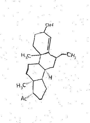 CC(=O)[C@H]1CCC2[C@@H]3CC(C)C4=CC(O)CCC4(C)C3CC[C@@]21C